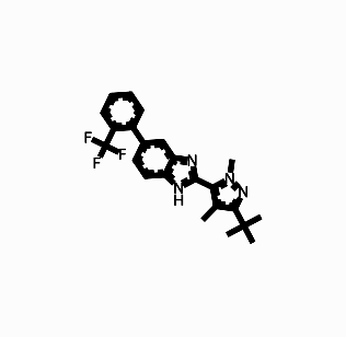 Cc1c(C(C)(C)C)nn(C)c1-c1nc2cc(-c3ccccc3C(F)(F)F)ccc2[nH]1